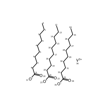 CCCCCCCCCC(=O)[O-].CCCCCCCCCC(=O)[O-].CCCCCCCCCC(=O)[O-].[V+3]